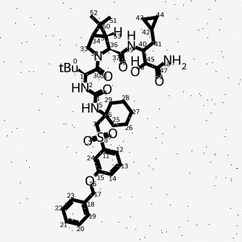 CC(C)(C)[C@H](NC(=O)NC1(CS(=O)(=O)c2cccc(OCc3ccccc3)c2)CCCCC1)C(=O)N1CC2[C@@H]([C@H]1C(=O)NC(CC1CC1)C(O)C(N)=O)C2(C)C